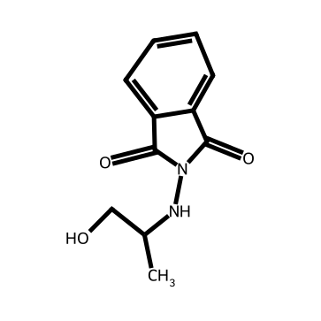 CC(CO)NN1C(=O)c2ccccc2C1=O